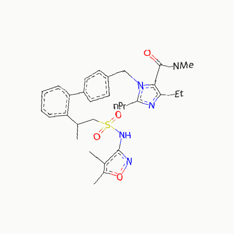 CCCc1nc(CC)c(C(=O)NC)n1Cc1ccc(-c2ccccc2C(C)CS(=O)(=O)Nc2noc(C)c2C)cc1